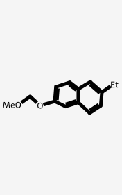 CCc1ccc2cc(OCOC)ccc2c1